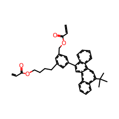 C=CC(=O)OCCCCc1cc(COC(=O)C=C)cc(-c2cc3c4ccccc4c(C(C)(C)C)cc3c3ccccc23)c1